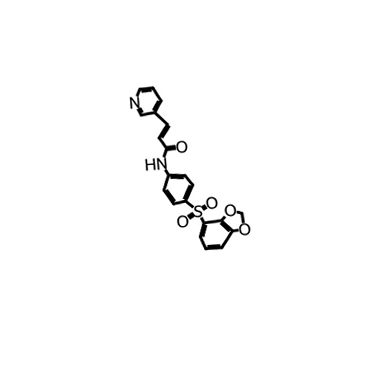 O=C(/C=C/c1cccnc1)Nc1ccc(S(=O)(=O)c2cccc3c2OCO3)cc1